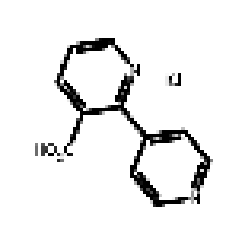 Cl.O=C(O)c1cccnc1-c1ccncc1